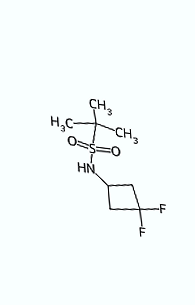 CC(C)(C)S(=O)(=O)NC1CC(F)(F)C1